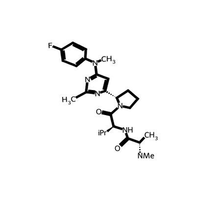 CN[C@@H](C)C(=O)N[C@H](C(=O)N1CCC[C@H]1c1cc(N(C)c2ccc(F)cc2)nc(C)n1)C(C)C